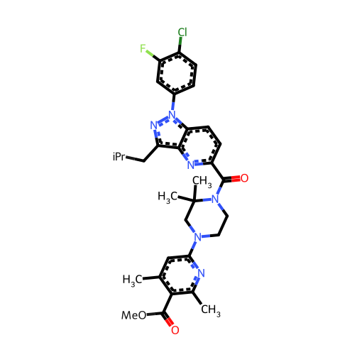 COC(=O)c1c(C)cc(N2CCN(C(=O)c3ccc4c(n3)c(CC(C)C)nn4-c3ccc(Cl)c(F)c3)C(C)(C)C2)nc1C